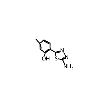 Cc1ccc(-c2nnc(N)s2)c(O)c1